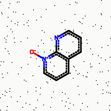 [O-][n+]1cc[c]c2cccnc21